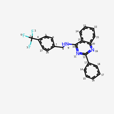 FC(F)(F)c1ccc(CNc2nc(-c3ccccc3)nc3ccccc23)cc1